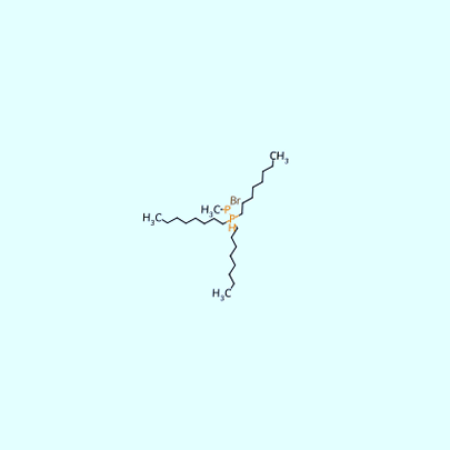 CCCCCCCC[PH](CCCCCCCC)(CCCCCCCC)P(C)Br